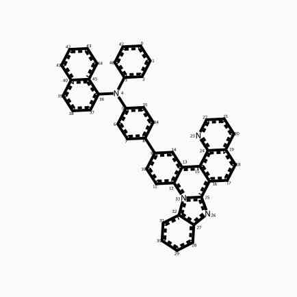 c1ccc(N(c2ccc(-c3ccc4c(c3)c3c(ccc5cccnc53)c3nc5ccccc5n43)cc2)c2cccc3ccccc23)cc1